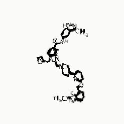 Cc1nc2cccc(COc3cccc(C4CCN(Cc5nc6cc(C(=O)Nc7ccc8[nH]nc(C)c8c7)ccc6n5C[C@@H]5CCO5)CC4)n3)c2s1